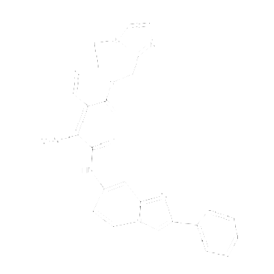 CN/C(C(=O)Nc1ccn2cc(-c3ccccc3)nc2c1)=C(\C=N)C(=O)N1CCn2ccnc2C1